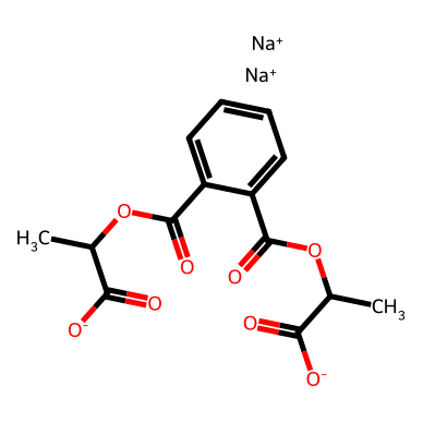 CC(OC(=O)c1ccccc1C(=O)OC(C)C(=O)[O-])C(=O)[O-].[Na+].[Na+]